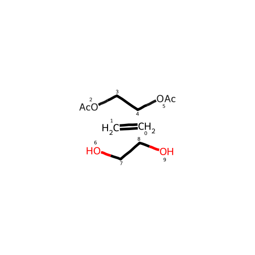 C=C.CC(=O)OCCOC(C)=O.OCCO